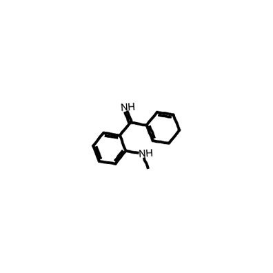 CNc1ccccc1C(=N)C1=CCCC=C1